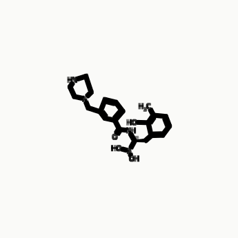 Cc1cccc(C[C@H](NC(=O)c2cccc(CN3CCNCC3)c2)B(O)O)c1O